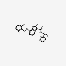 Cc1nc2c(OCc3c(F)cccc3F)cccn2c1C(=O)N[C@@](C)(CO)c1ccccn1